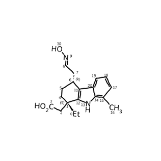 CC[C@@]1(CC(=O)O)CC[C@H](CC=NO)c2c1[nH]c1c(C)cccc21